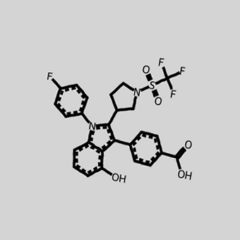 O=C(O)c1ccc(-c2c(C3CCN(S(=O)(=O)C(F)(F)F)C3)n(-c3ccc(F)cc3)c3cccc(O)c23)cc1